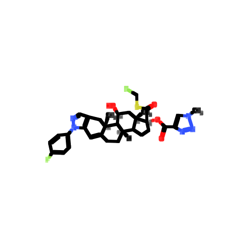 Cn1cc(C(=O)O[C@]2(C(=O)SCF)CCC3[C@@H]4CCC5=Cc6c(cnn6-c6ccc(F)cc6)C[C@]5(C)C4[C@@H](O)C[C@@]32C)nn1